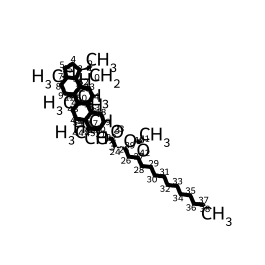 C=C(C)[C@@H]1CC[C@]2(C)CC[C@]3(C)[C@H](CC[C@@H]4[C@@]5(C)CC[C@H](OC(=O)C[C@@H](CCCCCCCCCCCCC)OC(C)=O)C(C)(C)[C@@H]5CC[C@]43C)[C@@H]12